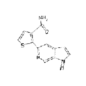 NC(=O)c1ccsc1-c1cc2cc[nH]c2cn1